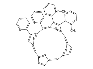 C[n+]1ccccc1C1=C(c2cccc[n+]2C)C2=C(c3ccccn3)C3=NC(=CC4=NC(=CC5=NC(=CC1=N2)C=C5)C=C4)C=C3c1ccccn1